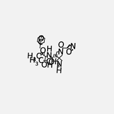 C[C@@H](OCC12CCC(CC1)OC2)C(NC(=O)[C@@H]1CN(C(=O)c2cnco2)CC12CNC2)C(C)(C)O